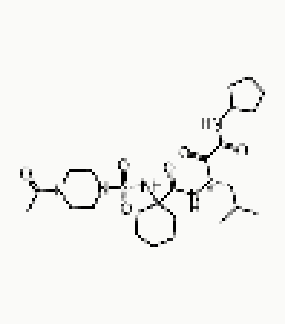 CC(=O)N1CCN(S(=O)(=O)NC2(C(=O)N[C@@H](CC(C)C)C(=O)C(=O)NC3CCCC3)CCCCC2)CC1